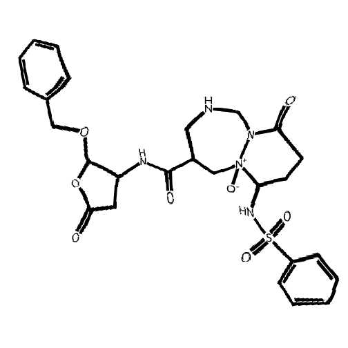 O=C1CC(NC(=O)C2CNCN3C(=O)CCC(NS(=O)(=O)c4ccccc4)[N+]3([O-])C2)C(OCc2ccccc2)O1